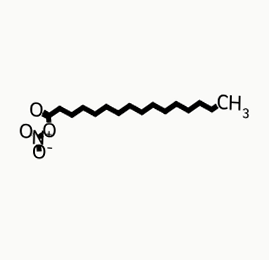 CCCCCCCCCCCCCCCC(=O)O[N+](=O)[O-]